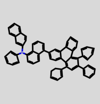 C1=CCCC(c2cc(-c3ccccc3)c(-c3ccccc3)c3c4ccccc4c4cc(-c5cccc6c(N(c7ccccc7)c7ccc8ccccc8c7)cccc56)ccc4c23)=C1